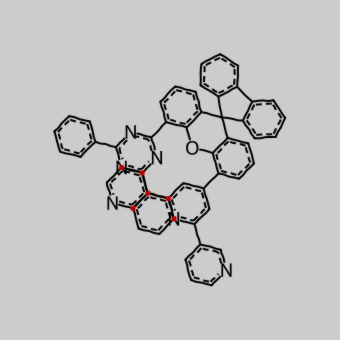 c1ccc(-c2nc(-c3ccccc3)nc(-c3cccc4c3Oc3c(-c5cc(-c6cccnc6)nc(-c6cccnc6)c5)cccc3C43c4ccccc4-c4ccccc43)n2)cc1